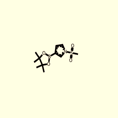 CC1(C)OB(c2ccn(S(C)(=O)=O)c2)OC1(C)C